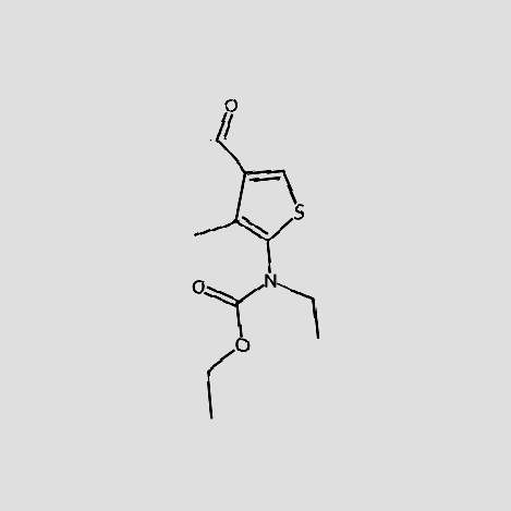 CCOC(=O)N(CC)c1scc([C]=O)c1C